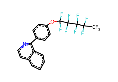 FC(F)(F)C(F)(F)C(F)(F)C(F)(F)C(F)(F)Oc1ccc(-c2nccc3ccccc23)cc1